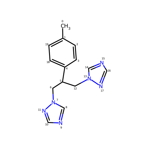 Cc1ccc(C(Cn2cncn2)Cn2cncn2)cc1